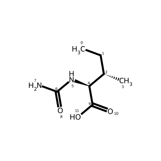 CC[C@H](C)[C@H](NC(N)=O)C(=O)O